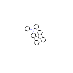 O=Cc1ccc2c(c1)C1(c3ccccc3-c3ccccc31)c1cc(N(c3ccccc3)c3ccccc3)ccc1-2